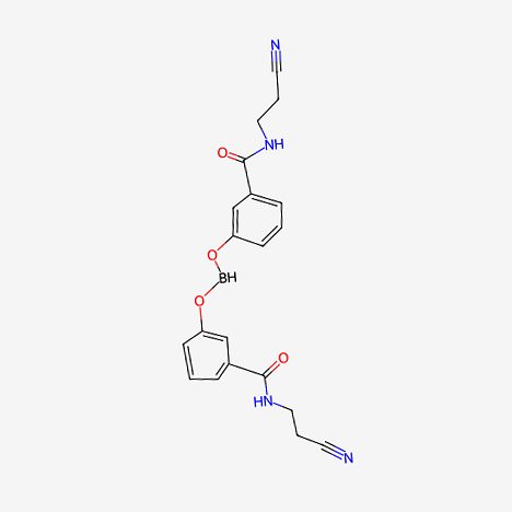 N#CCCNC(=O)c1cccc(OBOc2cccc(C(=O)NCCC#N)c2)c1